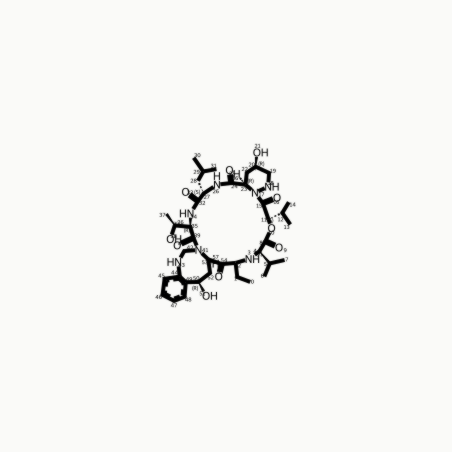 CCC1N[C@H](C(C)C)C(=O)O[C@@H](C(C)C)C(=O)N2NC[C@H](O)C[C@@H]2C(=O)N[C@@H](CC(C)C)C(=O)N[C@H]([C@H](C)O)C(=O)N2CNc3ccccc3[C@H](O)C[C@H]2C1=O